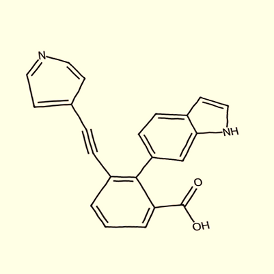 O=C(O)c1cccc(C#Cc2ccncc2)c1-c1ccc2cc[nH]c2c1